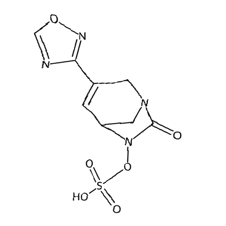 O=C1N2CC(c3ncon3)=CC(C2)N1OS(=O)(=O)O